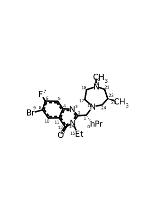 CCC[C@H](c1nc2cc(F)c(Br)cc2c(=O)n1CC)N1CCN(C)C[C@@H](C)C1